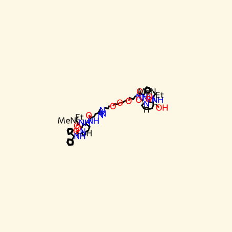 CC[C@H](NC)C(=O)N[C@@H]1C(=O)N2[C@@H](CC[C@@H]1CNC(=O)CCc1cn(CCCOCCOCCOCCCNC(=O)[C@@H](NC(=O)[C@@H]3CC[C@@H]4CC[C@H](CO)[C@H](NC(=O)[C@H](CC)NC)C(=O)N43)c3ccccc3)nn1)CC[C@H]2C(=O)NC(c1ccccc1)c1ccccc1